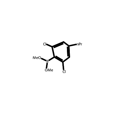 CCCc1cc(Cl)c(B(OC)OC)c(Cl)c1